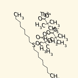 CC(C)(C)C(=O)[O-].CC(C)(C)C(=O)[O-].CC(C)(C)C(=O)[O-].CCCCCCCCS(=O)CCCCCCCC.[Tb+3]